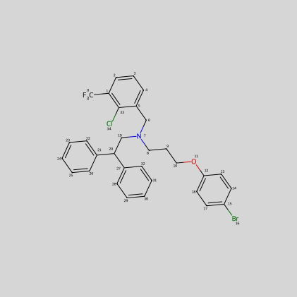 FC(F)(F)c1cccc(CN(CCCOc2ccc(Br)cc2)CC(c2ccccc2)c2ccccc2)c1Cl